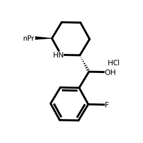 CCC[C@H]1CCC[C@H](C(O)c2ccccc2F)N1.Cl